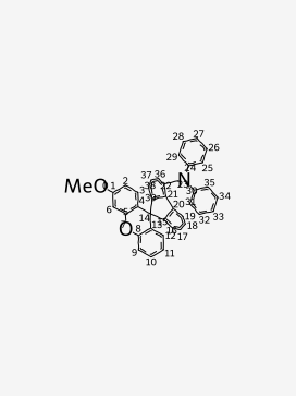 COc1ccc2c(c1)Oc1ccccc1C21c2ccccc2-c2c(N(c3ccccc3)c3ccccc3)cccc21